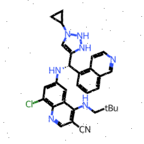 CC(C)(C)CNc1c(C#N)cnc2c(Cl)cc(N[C@H](C3=CN(C4CC4)NN3)c3cccc4cnccc34)cc12